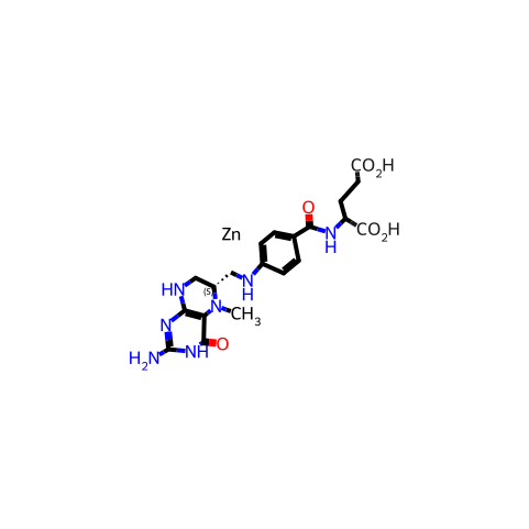 CN1c2c(nc(N)[nH]c2=O)NC[C@@H]1CNc1ccc(C(=O)NC(CCC(=O)O)C(=O)O)cc1.[Zn]